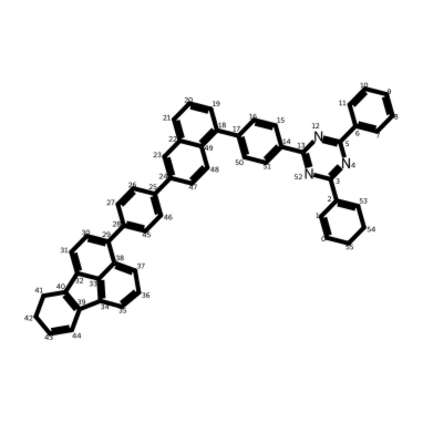 C1=CC(c2nc(-c3ccccc3)nc(-c3ccc(-c4cccc5cc(-c6ccc(-c7ccc8c9c(cccc79)C7=C8CCC=C7)cc6)ccc45)cc3)n2)=CCC1